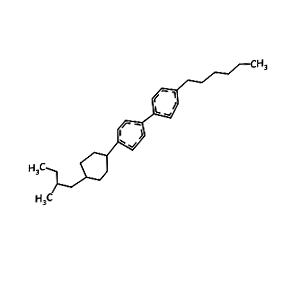 CCCCCCc1ccc(-c2ccc(C3CCC(CC(C)CC)CC3)cc2)cc1